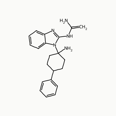 C=C(N)Nc1nc2ccccc2n1C1(N)CCC(c2ccccc2)CC1